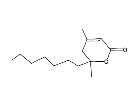 CCCCCCCC1(C)CC(C)=CC(=O)O1